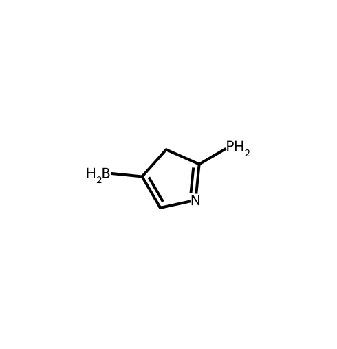 BC1=CN=C(P)C1